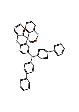 c1ccc(-c2ccc(N(c3ccc(-c4ccccc4)cc3)c3ccc4c(c3)[Si]3(c5ccccc5Sc5ccccc53)c3ccccc3S4)cc2)cc1